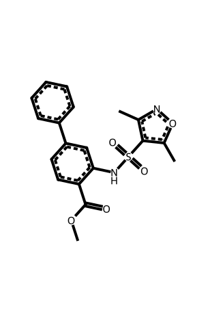 COC(=O)c1ccc(-c2ccccc2)cc1NS(=O)(=O)c1c(C)noc1C